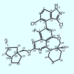 Fc1c(-c2c(Cl)ccc3[nH]nc(Cl)c23)nc2c3c(nc(OC[C@@]45CCCN4C[C@H](F)C5)nc13)N1CCCC[C@H]1CO2